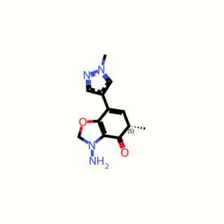 C[C@H]1C=C(c2cnn(C)c2)C2=C(C1=O)N(N)CO2